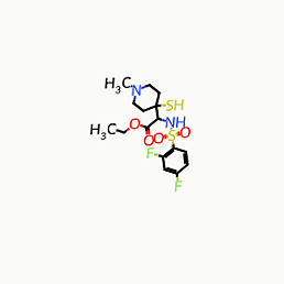 CCOC(=O)C(NS(=O)(=O)c1ccc(F)cc1F)C1(S)CCN(C)CC1